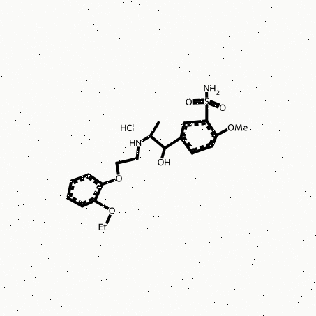 CCOc1ccccc1OCCNC(C)C(O)c1ccc(OC)c(S(N)(=O)=O)c1.Cl